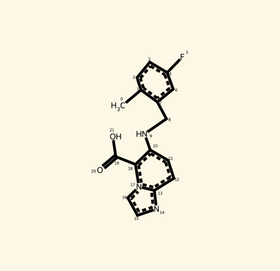 Cc1ccc(F)cc1CNc1ccc2nccn2c1C(=O)O